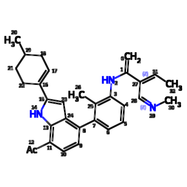 C=C(Nc1cccc(-c2ccc(C(C)=O)c3[nH]c(C4=CCC(C)CC4)cc23)c1C)C(/C=N\C)=C/C